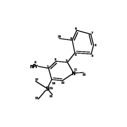 CCCC1=CC(c2ccccc2C)N(C)C=C1[Si](C)(C)C